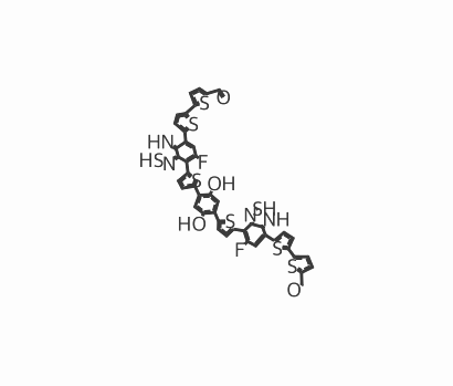 N=C1C(c2ccc(-c3ccc(C=O)s3)s2)=CC(F)=C(c2ccc(-c3cc(O)c(-c4ccc(C5=C(F)C=C(c6ccc(-c7ccc(C=O)s7)s6)C(=N)/C5=N\S)s4)cc3O)s2)/C1=N/S